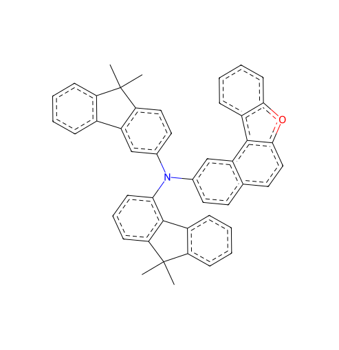 CC1(C)c2ccccc2-c2cc(N(c3ccc4ccc5oc6ccccc6c5c4c3)c3cccc4c3-c3ccccc3C4(C)C)ccc21